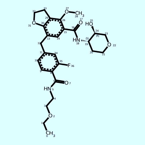 CCOCCNC(=O)c1ccc(Cc2cc(C(=O)N[C@H]3CCOC[C@@H]3O)c(OC)c3c2OCC3)cc1F